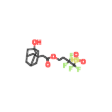 O=C(CC12CC3CC(CC(O)(C3)C1)C2)OCCC(F)(F)C(F)(F)[SH](=O)=O